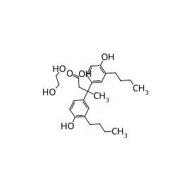 CCCCc1cc(C(C)(CC(=O)O)c2ccc(O)c(CCCC)c2)ccc1O.OCCO